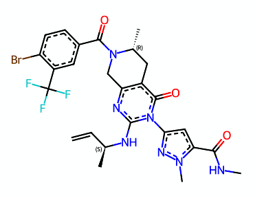 C=C[C@H](C)Nc1nc2c(c(=O)n1-c1cc(C(=O)NC)n(C)n1)C[C@@H](C)N(C(=O)c1ccc(Br)c(C(F)(F)F)c1)C2